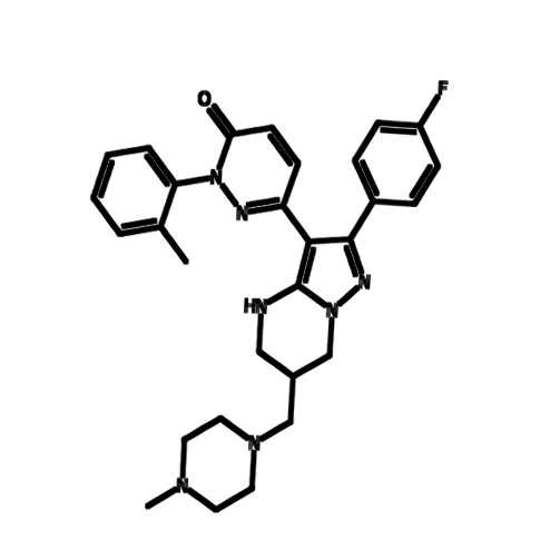 Cc1ccccc1-n1nc(-c2c(-c3ccc(F)cc3)nn3c2NCC(CN2CCN(C)CC2)C3)ccc1=O